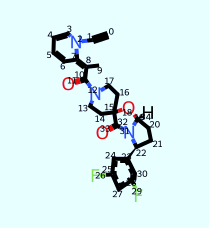 C#CN1C=CC=C/C1=C(/C)C(=O)N1CCC2(CC1)O[C@@H]1CC[C@@H](c3cc(F)cc(F)c3)N1C2=O